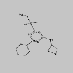 CC(C)(CS)c1cc(NC2COC2)nc(N2CCCCC2)n1